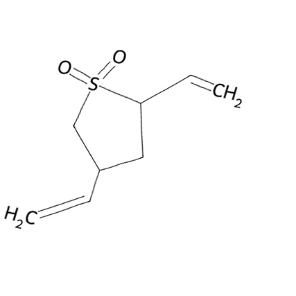 C=CC1CC(C=C)S(=O)(=O)C1